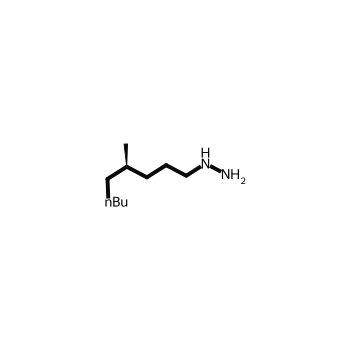 CCCCC[C@@H](C)CCCNN